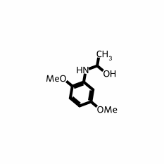 COc1ccc(OC)c(NC(C)O)c1